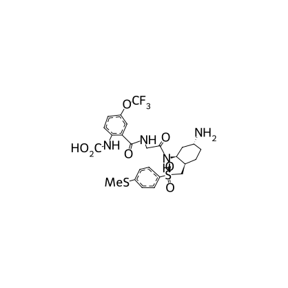 CSc1ccc(S(=O)(=O)C[C@@H]2CC[C@@H](N)C[C@@H]2NC(=O)CNC(=O)c2cc(OC(F)(F)F)ccc2NC(=O)O)cc1